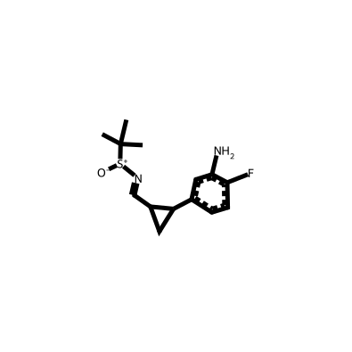 CC(C)(C)[S+]([O-])N=CC1CC1c1ccc(F)c(N)c1